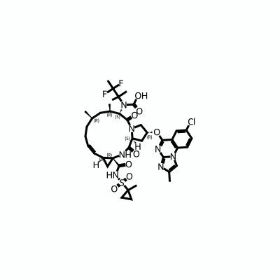 Cc1cn2c(n1)nc(O[C@@H]1C[C@H]3C(=O)N[C@]4(C(=O)NS(=O)(=O)C5(C)CC5)C[C@H]4C=CCC[C@@H](C)C[C@@H](C)[C@H](N(C(=O)O)C(C)(C)C(C)(F)F)C(=O)N3C1)c1cc(Cl)ccc12